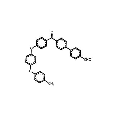 Cc1ccc(Oc2ccc(Oc3ccc(C(=O)c4ccc(-c5ccc(C=O)cc5)cc4)cc3)cc2)cc1